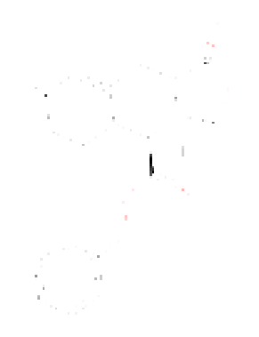 C[C@H]1OC(=O)[C@@H]2CC3=CC(=O)CCC3[C@H](C(=O)OCc3ccccc3)[C@H]12